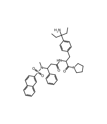 CCC(N)(CC)c1ccc(CC(NC(=O)CC(c2ccccc2)N(C)S(=O)(=O)c2ccc3ccccc3c2)C(=O)N2CCCC2)cc1